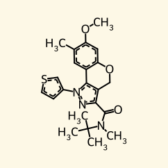 COc1cc2c(cc1C)-c1c(c(C(=O)N(C)C(C)(C)C)nn1-c1ccsc1)CO2